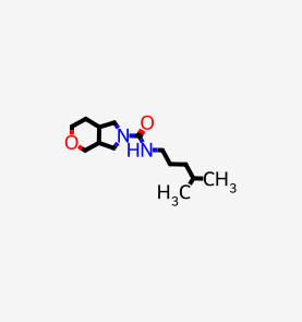 CC(C)CCCNC(=O)N1CC2CCOCC2C1